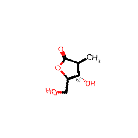 CC1C(=O)OC(CO)[C@H]1O